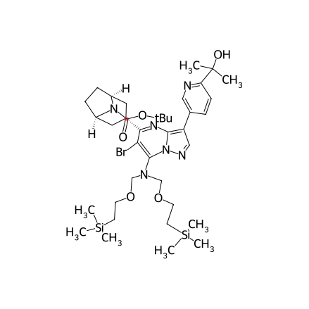 CC(C)(C)OC(=O)N1[C@@H]2CC[C@H]1C[C@H](c1nc3c(-c4ccc(C(C)(C)O)nc4)cnn3c(N(COCC[Si](C)(C)C)COCC[Si](C)(C)C)c1Br)C2